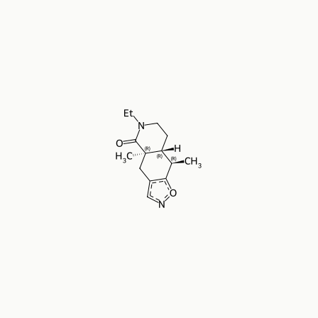 CCN1CC[C@@H]2[C@@H](C)c3oncc3C[C@@]2(C)C1=O